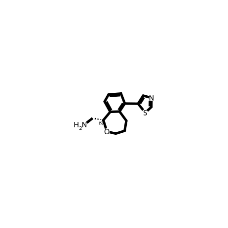 NC[C@H]1OCCCc2c(-c3cncs3)cccc21